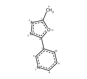 Cc1nnc(-c2[c]nccc2)o1